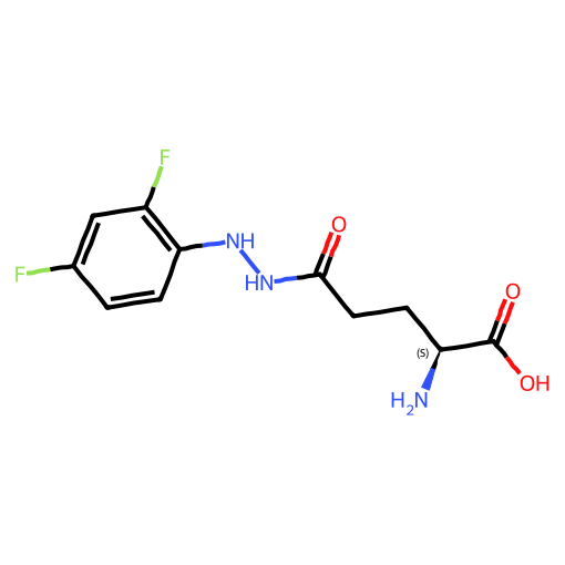 N[C@@H](CCC(=O)NNc1ccc(F)cc1F)C(=O)O